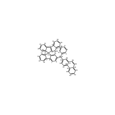 c1ccc(N(c2ccc3c(c2)C2(c4ccccc4-3)c3ccccc3-c3c2sc2ccccc32)c2ccc3c(ccc4ccccc43)c2)cc1